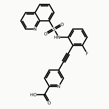 O=C(O)c1ccc(C#Cc2c(F)cccc2NS(=O)(=O)c2cccc3cccnc23)cn1